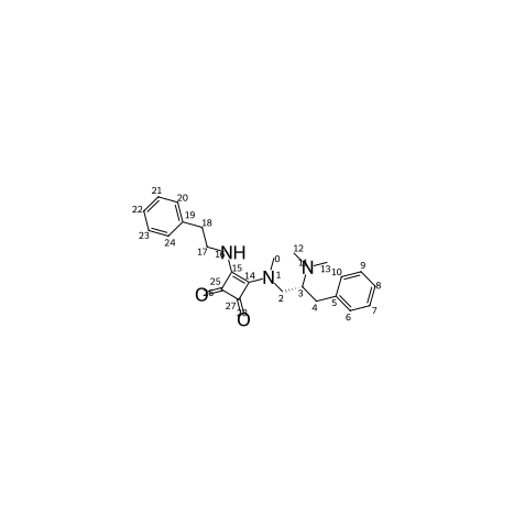 CN(C[C@@H](Cc1ccccc1)N(C)C)c1c(NCCc2ccccc2)c(=O)c1=O